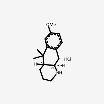 COc1ccc2c(c1)C(C)(C)[C@H]1CCCN[C@@H]1C2.Cl